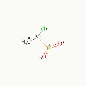 CC(Cl)P(=O)=O